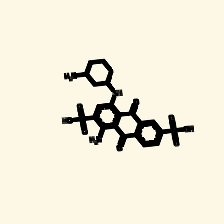 Nc1c(S(=O)(=O)O)cc(NC2CCCC(N)C2)c2c1C(=O)c1ccc(S(=O)(=O)O)cc1C2=O